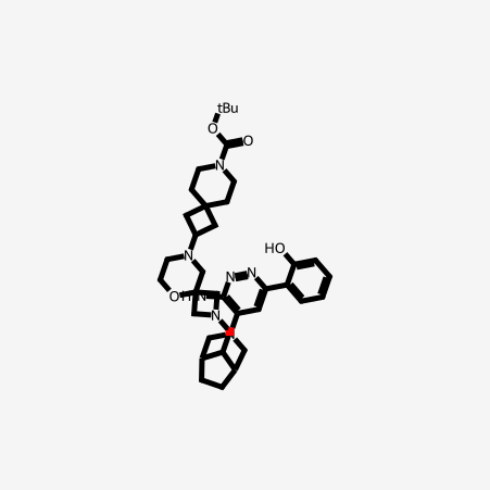 CC(C)(C)OC(=O)N1CCC2(CC1)CC(N1CCOC3(CN(CC4C5CCC4CN(c4cc(-c6ccccc6O)nnc4N)C5)C3)C1)C2